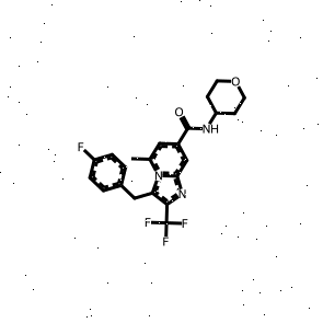 Cc1cc(C(=O)NC2CCOCC2)cc2nc(C(F)(F)F)c(Cc3ccc(F)cc3)n12